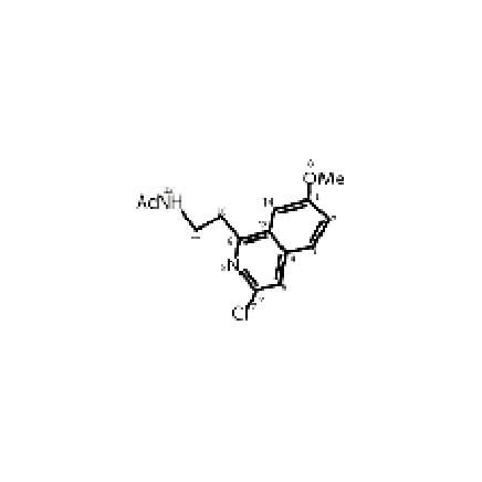 COc1ccc2cc(Cl)nc(CCNC(C)=O)c2c1